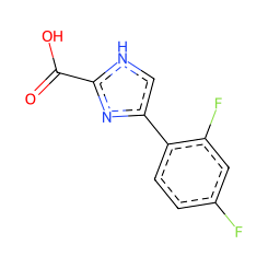 O=C(O)c1nc(-c2ccc(F)cc2F)c[nH]1